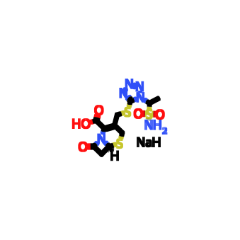 CC(n1nnnc1SCC1=C(C(=O)O)N2C(=O)C[C@H]2SC1)S(N)(=O)=O.[NaH]